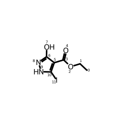 CCOC(=O)c1c(O)n[nH]c1I